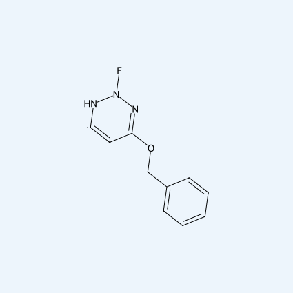 FN1N=C(OCc2ccccc2)C=[C]N1